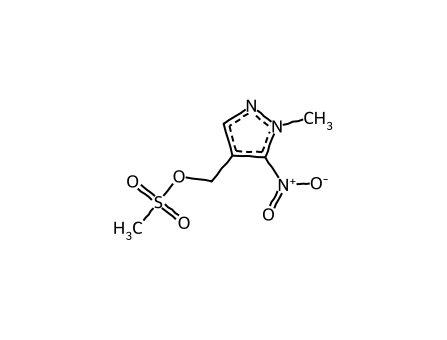 Cn1ncc(COS(C)(=O)=O)c1[N+](=O)[O-]